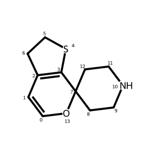 C1=CC2=C(SCC2)C2(CCNCC2)O1